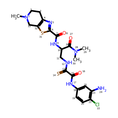 CN1CCc2nc(C(=O)NC(CNC(=S)C(=O)Nc3ccc(Cl)c(N)c3)C(=O)N(C)C)sc2C1